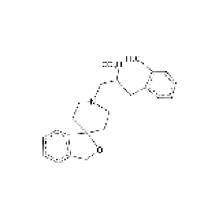 Cc1ccccc1CC(CN1CCC2(CC1)OCc1ccccc12)C(=O)O